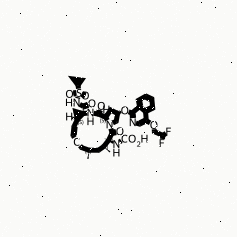 C[C@@H]1CCC=C[C@@H]2C[C@@]2(C(=O)NS(=O)(=O)C2CC2)NC(=O)[C@@H]2C[C@@H](Oc3ncc(OCC(F)F)c4ccccc34)CN2C(=O)[C@@H](NC(=O)O)[C@H](C)C1